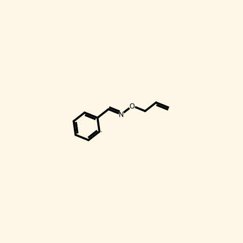 C=CCON=Cc1[c]cccc1